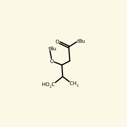 CC(C(=O)O)C(CC(=O)C(C)(C)C)OC(C)(C)C